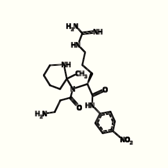 CC1(N(C(=O)CCN)[C@@H](CCCNC(=N)N)C(=O)Nc2ccc([N+](=O)[O-])cc2)CCCCN1